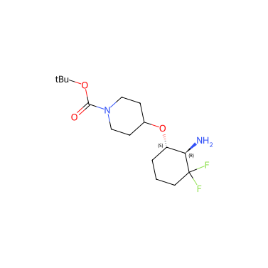 CC(C)(C)OC(=O)N1CCC(O[C@H]2CCCC(F)(F)[C@@H]2N)CC1